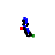 O=C(c1cc2ccc(Cl)cn2n1)N1CCn2nncc2C1